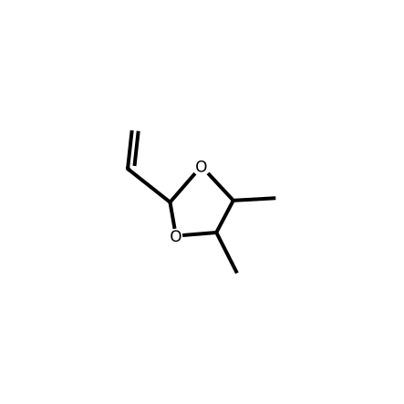 C=CC1OC(C)C(C)O1